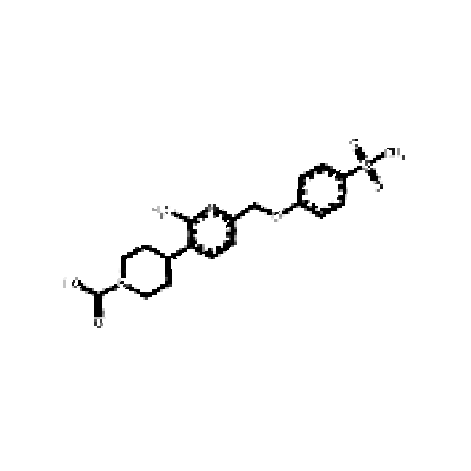 Cc1nc(COc2ccc(S(C)(=O)=O)cc2)ccc1C1CCN(C(=O)O)CC1